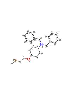 CSCCOC1CCC(N(Cc2ccccc2)Cc2ccccc2)CC1